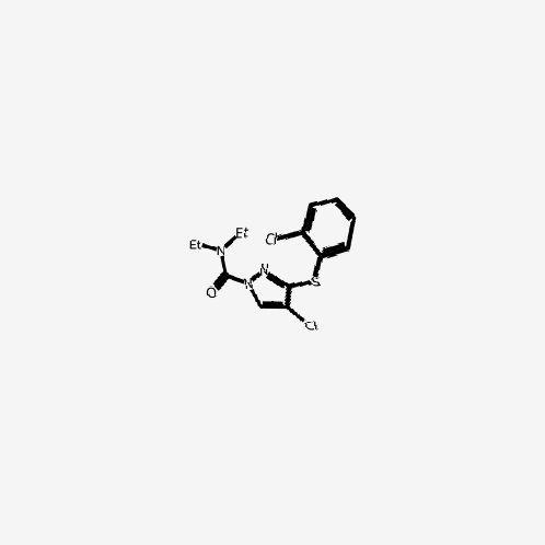 CCN(CC)C(=O)n1cc(Cl)c(Sc2ccccc2Cl)n1